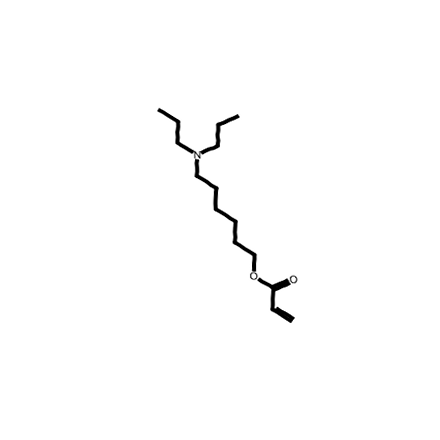 C=CC(=O)OCCCCCCN(CCC)CCC